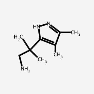 Cc1n[nH]c(C(C)(C)CN)c1C